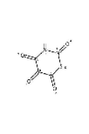 O=C1N[N+](=O)SC(=O)C1=O